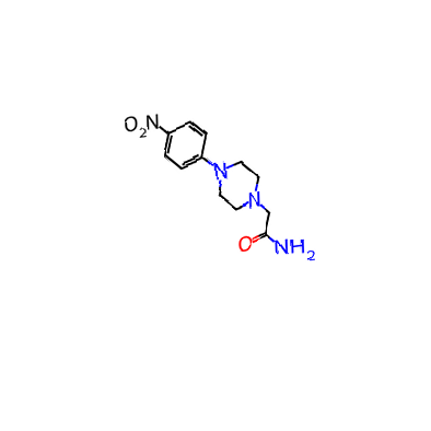 NC(=O)CN1CCN(c2ccc([N+](=O)[O-])cc2)CC1